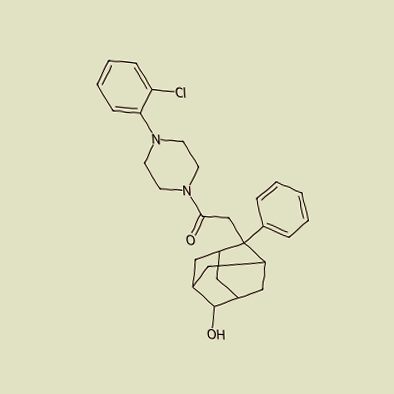 O=C(CC1(c2ccccc2)C2CC3CC1CC(C2)C3O)N1CCN(c2ccccc2Cl)CC1